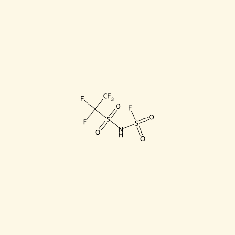 O=S(=O)(F)NS(=O)(=O)C(F)(F)C(F)(F)F